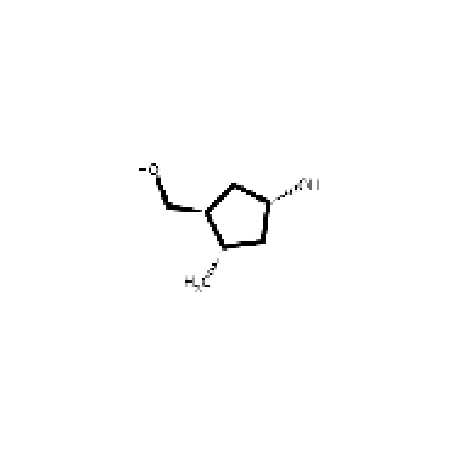 C[C@H]1C[C@@H](O)C[C@@H]1CO